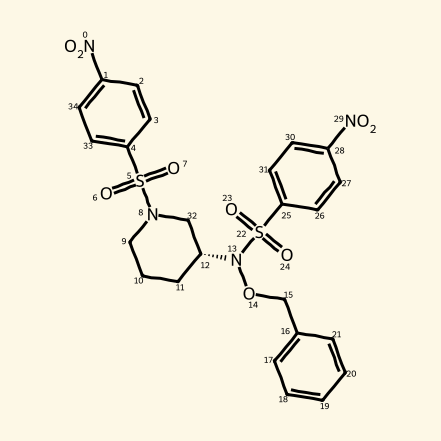 O=[N+]([O-])c1ccc(S(=O)(=O)N2CCC[C@@H](N(OCc3ccccc3)S(=O)(=O)c3ccc([N+](=O)[O-])cc3)C2)cc1